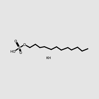 CCCCCCCCCCCCOS(=O)(=O)O.[KH]